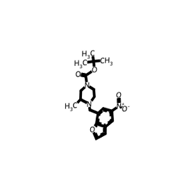 CC1CN(C(=O)OC(C)(C)C)CCN1Cc1cc([N+](=O)[O-])cc2ccoc12